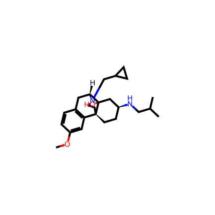 COc1ccc2c(c1)[C@@]13CC[C@H](NCC(C)C)C[C@@]1(O)[C@@H](C2)N(CC1CC1)CC3